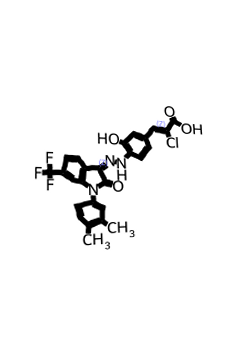 Cc1ccc(N2C(=O)/C(=N\Nc3ccc(/C=C(\Cl)C(=O)O)cc3O)c3ccc(C(F)(F)F)cc32)cc1C